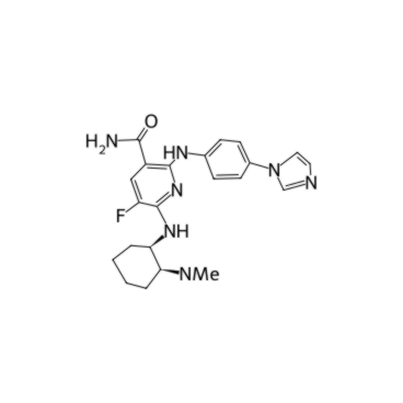 CN[C@H]1CCCC[C@H]1Nc1nc(Nc2ccc(-n3ccnc3)cc2)c(C(N)=O)cc1F